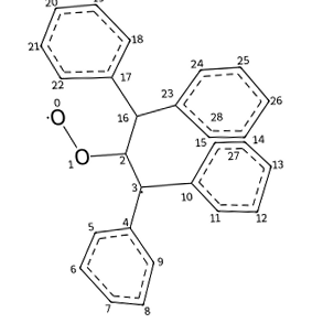 [O]OC([C](c1ccccc1)c1ccccc1)C(c1ccccc1)c1ccccc1